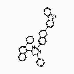 c1ccc(-c2nc(-c3ccc4cc(-c5ccc6oc7ccccc7c6c5)ccc4c3)nc(-c3c(-c4ccccc4)ccc4ccccc34)n2)cc1